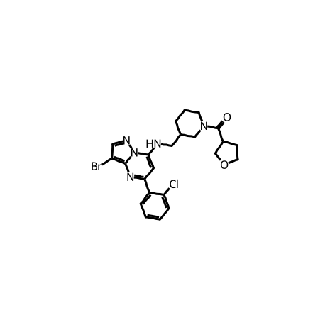 O=C(C1CCOC1)N1CCCC(CNc2cc(-c3ccccc3Cl)nc3c(Br)cnn23)C1